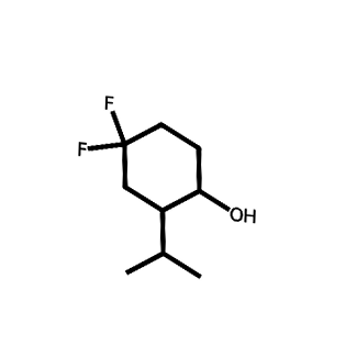 CC(C)C1CC(F)(F)CCC1O